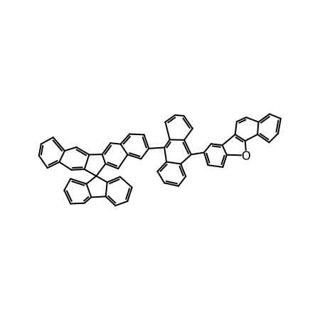 c1ccc2c(c1)-c1ccccc1C21c2cc3ccccc3cc2-c2cc3ccc(-c4c5ccccc5c(-c5ccc6oc7c8ccccc8ccc7c6c5)c5ccccc45)cc3cc21